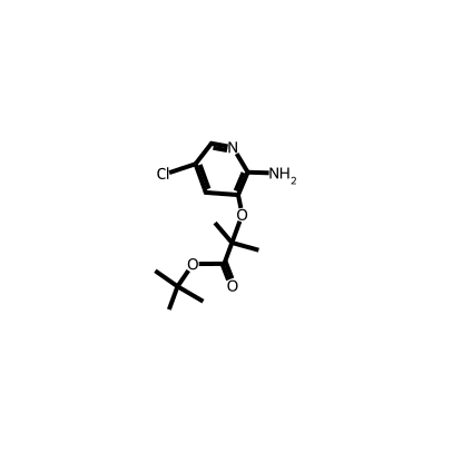 CC(C)(C)OC(=O)C(C)(C)Oc1cc(Cl)cnc1N